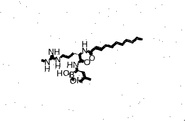 CCCCCCCC/C=C/C(=O)N[C@@H](CCCNC(=N)NC)C(=O)N[C@@H](CC(C)C)B(O)O